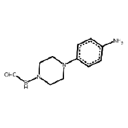 Nc1ccc(N2CCN(BC=O)CC2)cc1